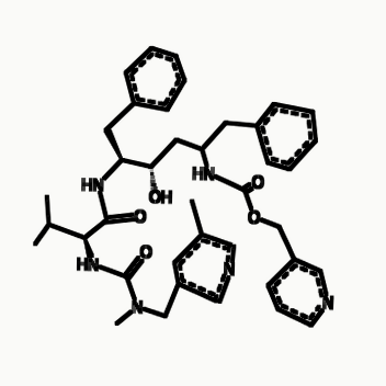 Cc1cncc(CN(C)C(=O)N[C@H](C(=O)N[C@@H](Cc2ccccc2)[C@@H](O)CC(Cc2ccccc2)NC(=O)OCc2cccnc2)C(C)C)c1